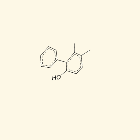 Cc1ccc(O)c(-c2ccccc2)c1C